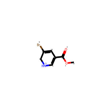 COC(=O)C1=CNCC(Br)=C1